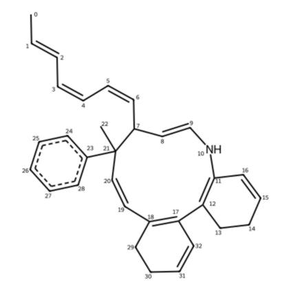 C/C=C/C=C\C=C/C1/C=C/NC2=C(CCC=C2)C2=C(/C=C\C1(C)c1ccccc1)CCC=C2